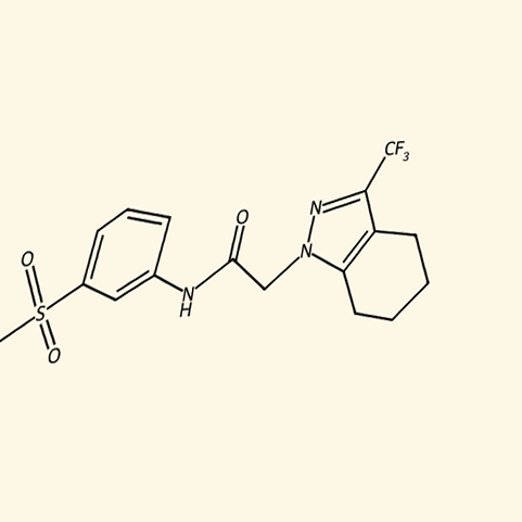 CS(=O)(=O)c1cccc(NC(=O)Cn2nc(C(F)(F)F)c3c2CCCC3)c1